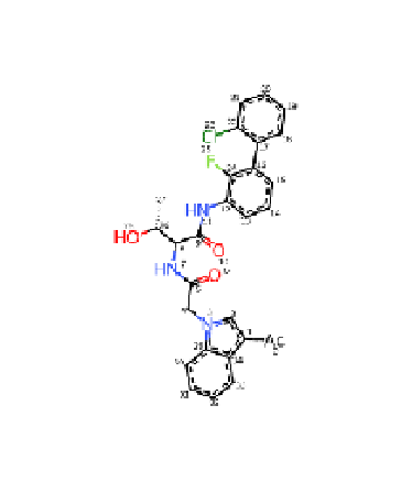 CC(=O)c1cn(CC(=O)N[C@H](C(=O)Nc2cccc(-c3ccccc3Cl)c2F)[C@@H](C)O)c2ccccc12